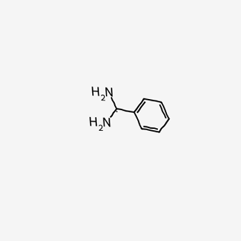 N[C](N)c1ccccc1